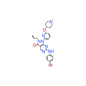 C=CCn1c(=O)c2cnc(Nc3ccc(Br)cc3)nc2n1-c1cccc(OC2CCN(C)CC2)n1